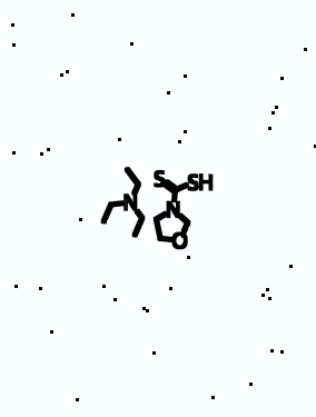 CCN(CC)CC.S=C(S)N1CCOC1